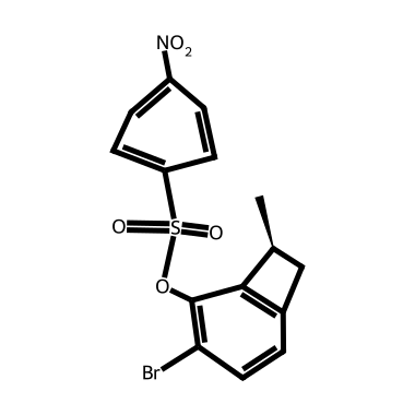 C[C@H]1Cc2ccc(Br)c(OS(=O)(=O)c3ccc([N+](=O)[O-])cc3)c21